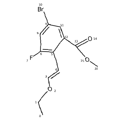 CCOC=Cc1c(F)cc(Br)cc1C(=O)OC